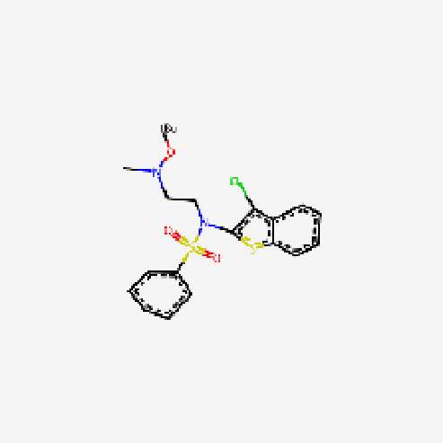 CN(CCN(c1sc2ccccc2c1Cl)S(=O)(=O)c1ccccc1)OC(C)(C)C